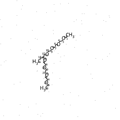 CCOCCOCCOCCOCC(CC)OCCOCCOCCOCC